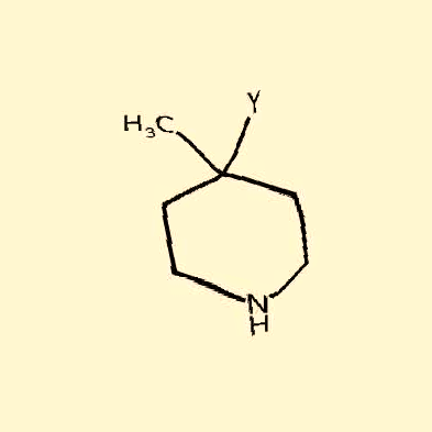 C[C]1([Y])CCNCC1